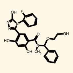 CN(C(=O)c1cc(-c2nnc(O)n2-c2ccccc2F)c(O)cc1O)C(OCCO)c1ccccc1